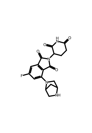 O=C1CCC(N2C(=O)c3cc(F)cc(N4CC5CC4CN5)c3C2=O)C(=O)N1